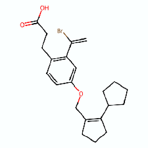 C=C(Br)c1cc(OCC2=C(C3CCCC3)CCC2)ccc1CCC(=O)O